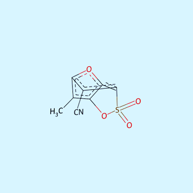 Cc1c2c3oc1c(C#N)c3S(=O)(=O)O2